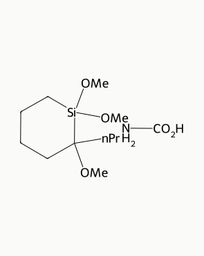 CCCC1(OC)CCCC[Si]1(OC)OC.NC(=O)O